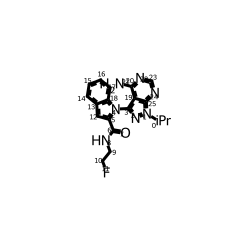 CC(C)n1nc(-n2c(C(=O)NCCF)cc3ccccc32)c2c(N)ncnc21